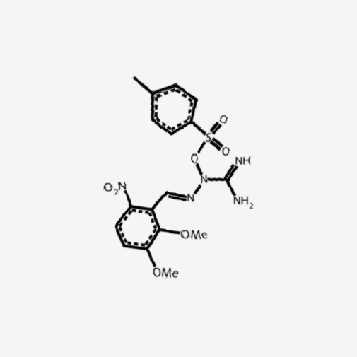 COc1ccc([N+](=O)[O-])c(C=NN(OS(=O)(=O)c2ccc(C)cc2)C(=N)N)c1OC